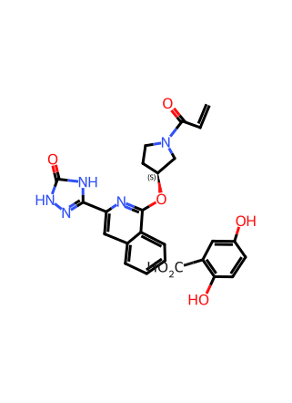 C=CC(=O)N1CC[C@H](Oc2nc(-c3n[nH]c(=O)[nH]3)cc3ccccc23)C1.O=C(O)c1cc(O)ccc1O